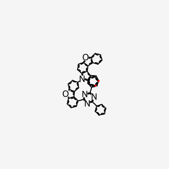 c1ccc(-c2nc(-c3ccccc3)nc(-c3cccc4oc5ccc(-n6c7ccccc7c7c8c(ccc76)oc6ccccc68)cc5c34)n2)cc1